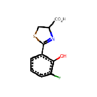 O=C(O)C1CSC(c2cccc(F)c2O)=N1